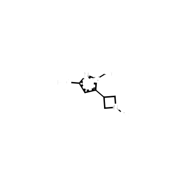 CC(=O)N1CC(c2cc(C)nn2C(C)C)C1